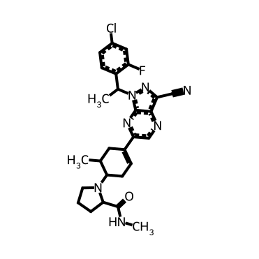 CNC(=O)C1CCCN1C1CC=C(c2cnc3c(C#N)nn(C(C)c4ccc(Cl)cc4F)c3n2)CC1C